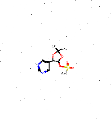 CNS(=O)(=O)OC1OC(C)(C)OC1c1cncnc1